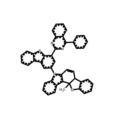 CC12Oc3ccccc3C1C=Cc1c2c2ccccc2n1-c1cc(-c2nc(-c3ccccc3)c3ccccc3n2)c2sc3ccccc3c2c1